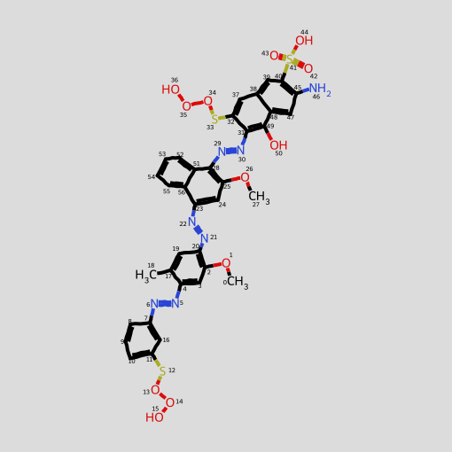 COc1cc(N=Nc2cccc(SOOO)c2)c(C)cc1N=Nc1cc(OC)c(N=Nc2c(SOOO)cc3cc(S(=O)(=O)O)c(N)cc3c2O)c2ccccc12